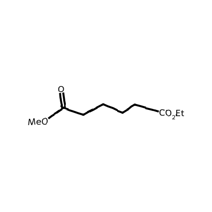 [CH2]OC(=O)CCCCC(=O)OCC